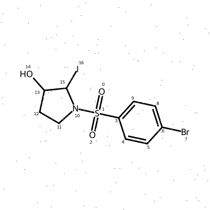 O=S(=O)(c1ccc(Br)cc1)N1CCC(O)C1I